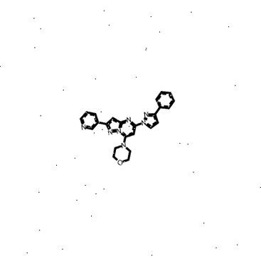 c1ccc(-c2ccn(-c3cc(N4CCOCC4)n4nc(-c5cccnc5)cc4n3)n2)cc1